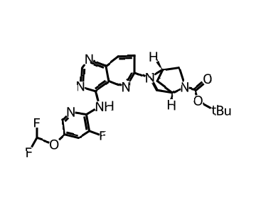 CC(C)(C)OC(=O)N1C[C@@H]2C[C@H]1CN2c1ccc2ncnc(Nc3ncc(OC(F)F)cc3F)c2n1